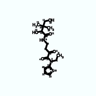 CCN(C(=O)C(=O)CCNC(=O)C(O)C(C)(C)CO)c1cccs1